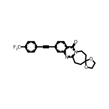 O=c1c2ccc(C#Cc3ccc(C(F)(F)F)cc3)cc2nc2n1CCC1(CC2)OCCO1